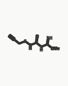 C#CCSNC(=O)NC(=N)OC